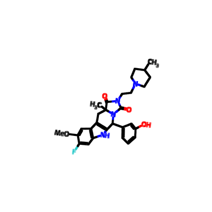 COc1cc2c3c([nH]c2cc1F)C(c1cccc(O)c1)N1C(=O)N(CCN2CCC(C)CC2)C(=O)C1(C)C3